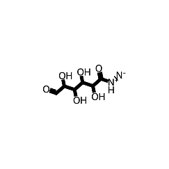 [N-]=[NH+]C(=O)C(O)C(O)C(O)C(O)C=O